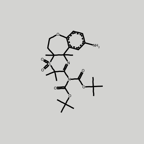 CC(C)(C)OC(=O)N(C(=O)OC(C)(C)C)C1=NC2(C)c3cc(N)ccc3OCCC2(C)S(=O)(=O)C1(C)C